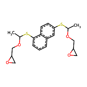 CC(OCC1CO1)Sc1ccc2c(SC(C)OCC3CO3)cccc2c1